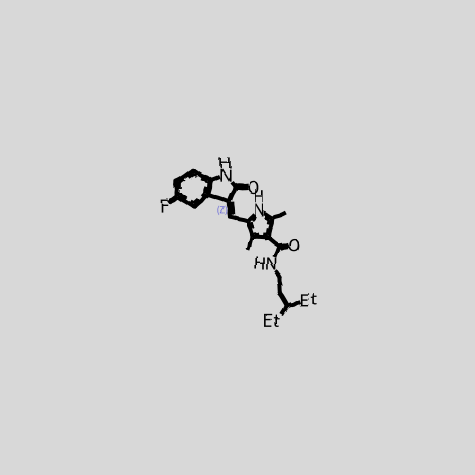 CCC(CC)CCNC(=O)c1c(C)[nH]c(/C=C2\C(=O)Nc3ccc(F)cc32)c1C